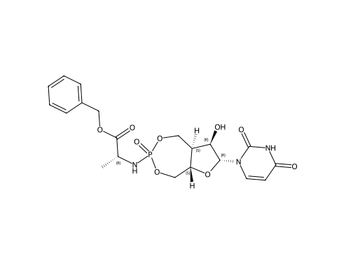 C[C@@H](NP1(=O)OC[C@H]2[C@@H](O)[C@H](n3ccc(=O)[nH]c3=O)O[C@@H]2CO1)C(=O)OCc1ccccc1